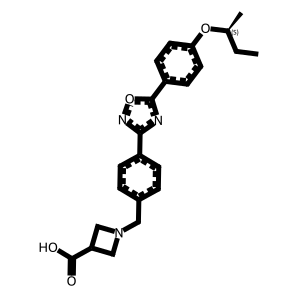 CC[C@H](C)Oc1ccc(-c2nc(-c3ccc(CN4CC(C(=O)O)C4)cc3)no2)cc1